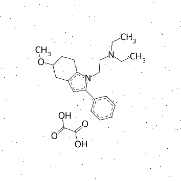 CCN(CC)CCn1c(-c2ccccc2)cc2c1CCC(OC)C2.O=C(O)C(=O)O